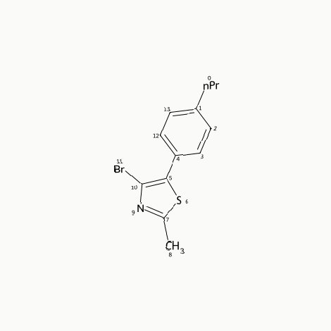 CCCc1ccc(-c2sc(C)nc2Br)cc1